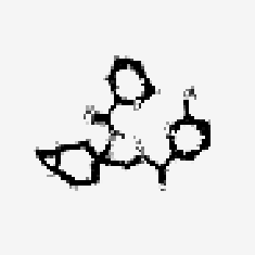 Cc1cccc(C(=O)NCC2(NC(=O)c3ccccn3)CC=C3CC3C2)n1